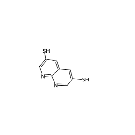 Sc1cnc2ncc(S)cc2c1